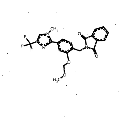 COCOc1cc(-c2nc(C(F)(F)F)cn2C)ccc1CN1C(=O)c2ccccc2C1=O